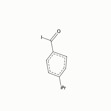 CC(C)c1ccc(C(=O)I)cc1